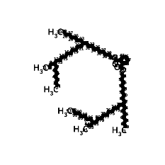 CCCCCCCCC(CCC)CCCCCCCCCCC(CCCCCCCC)CCCCCCCCCCOC(=O)c1ccccc1C(=O)OCCCCCCCCCCC(CCCCCCCC)CCCCCCCCCCC(CCC)CCCCCCCC